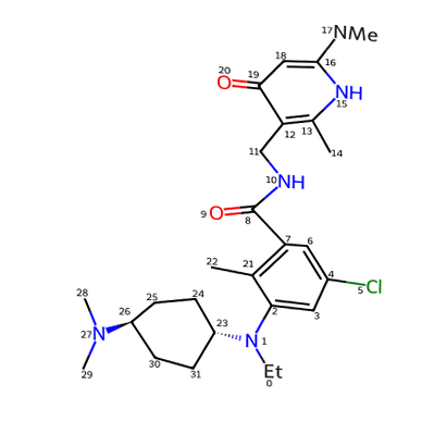 CCN(c1cc(Cl)cc(C(=O)NCc2c(C)[nH]c(NC)cc2=O)c1C)[C@H]1CC[C@H](N(C)C)CC1